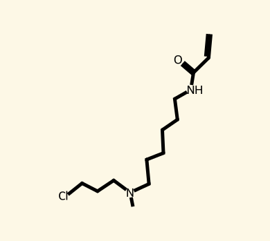 C=CC(=O)NCCCCCCN(C)CCCCl